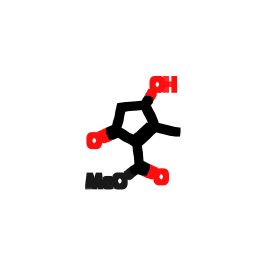 COC(=O)C1=C(C)C(O)CC1=O